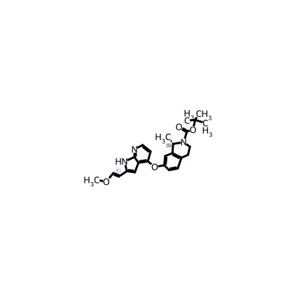 CO/C=C/c1cc2c(Oc3ccc4c(c3)[C@H](C)N(C(=O)OC(C)(C)C)CC4)ccnc2[nH]1